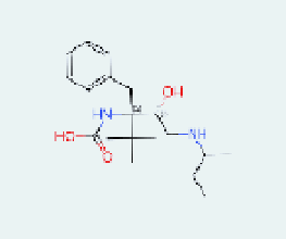 CCC(C)NC[C@@H](O)[C@@](Cc1ccccc1)(NC(=O)O)C(C)(C)C